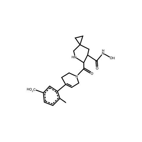 Cc1ccc(C(=O)O)cc1C1=CCN(C(=O)C2NCC3(CC3)CC2C(=O)NO)CC1